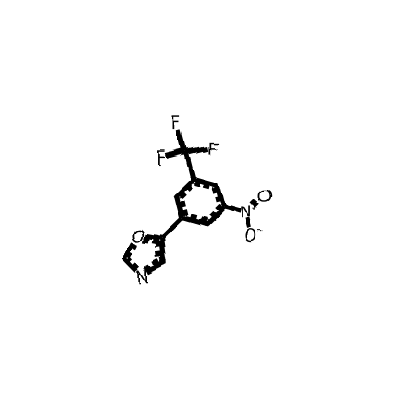 O=[N+]([O-])c1cc(-c2cnco2)cc(C(F)(F)F)c1